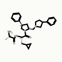 C[C@H](N)C(=O)N[C@@H](CC1CC1)C(=O)N1C[C@@H](c2ccccc2)C[C@H]1CN1CCC(c2ccccc2)C1